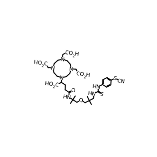 CC(C)(CNC(=S)Nc1ccc(SC#N)cc1)COCC(C)(C)NC(=O)CCC(C(=O)O)N1CCN(CC(=O)O)CCN(CC(=O)O)CCN(CC(=O)O)CC1